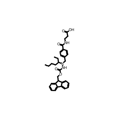 CCCCC(CC)N(Cc1ccc(C(=O)NCCC(=O)O)cc1)NC(=O)OCC1c2ccccc2-c2ccccc21